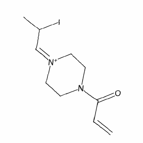 C=CC(=O)N1CC[N+](=CC(C)I)CC1